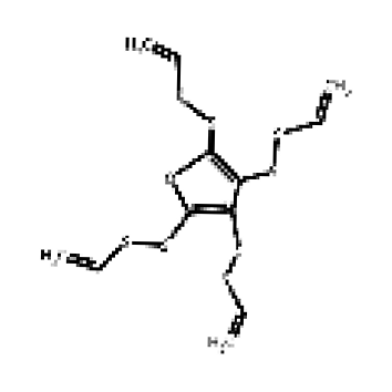 C=CSSc1oc(SSC=C)c(SSC=C)c1SSC=C